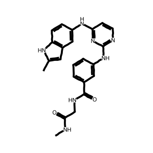 CNC(=O)CNC(=O)c1cccc(Nc2nccc(Nc3ccc4[nH]c(C)cc4c3)n2)c1